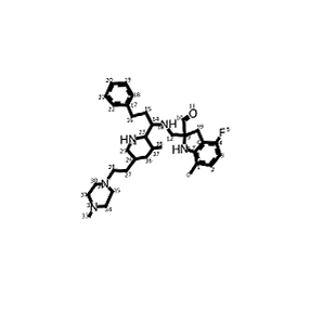 Cc1ccc(F)c2c1NC(C=O)(CNC(CCc1ccccc1)C1NCC(CCN3CCN(C)CC3)CC1C)C2